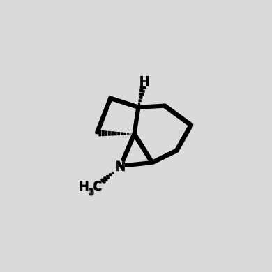 C[N@@]1C2CCC[C@@H]3CC[C@@]231